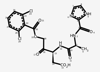 C[C@H](NC(=O)c1ncc[nH]1)C(=O)N[C@@H](CC(=O)O)C(=O)COC(=O)c1c(Cl)cccc1Cl